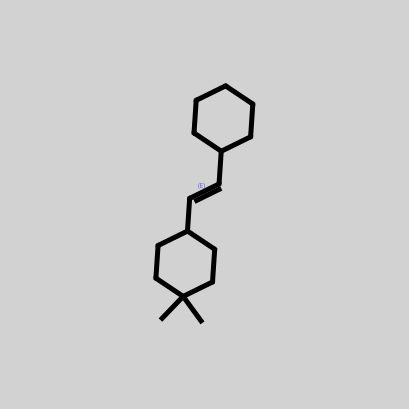 CC1(C)CCC(/C=C/C2CCCCC2)CC1